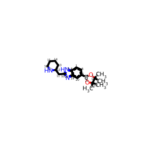 CC1(C)OB(c2ccc3[nH]c(CC4CCCCN4)nc3c2)OC1(C)C